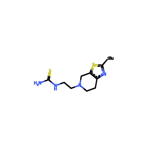 CC(C)(C)c1nc2c(s1)CN(CCNC(N)=S)CC2